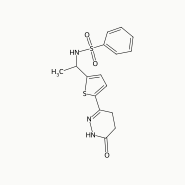 CC(NS(=O)(=O)c1ccccc1)c1ccc(C2=NNC(=O)CC2)s1